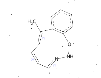 C\C1=C/C=C\C=N\NOc2ccccc21